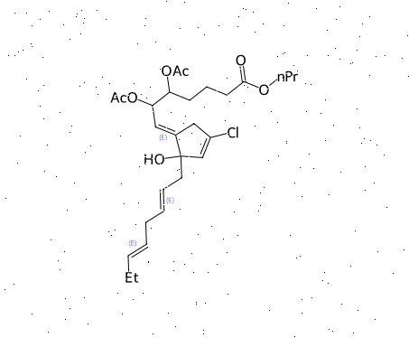 CC/C=C/C/C=C/CC1(O)C=C(Cl)C/C1=C\C(OC(C)=O)C(CCCC(=O)OCCC)OC(C)=O